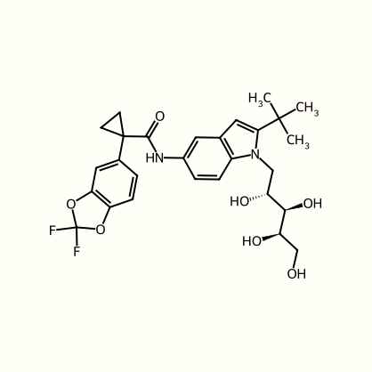 CC(C)(C)c1cc2cc(NC(=O)C3(c4ccc5c(c4)OC(F)(F)O5)CC3)ccc2n1C[C@@H](O)[C@@H](O)[C@H](O)CO